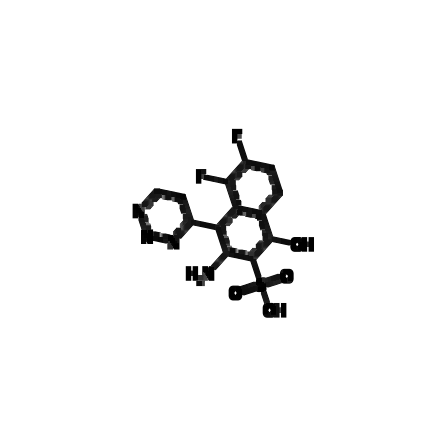 Nc1c(S(=O)(=O)O)c(O)c2ccc(F)c(F)c2c1-c1ccnnn1